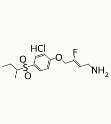 CCC(C)S(=O)(=O)c1ccc(OCC(F)=CCN)cc1.Cl